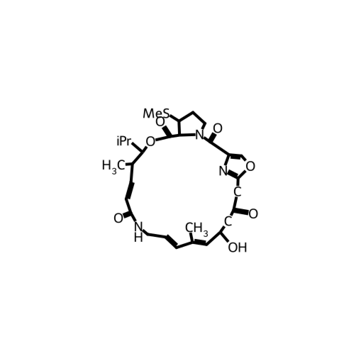 CSC1CCN2C(=O)c3coc(n3)CC(=O)CC(O)/C=C(C)/C=C/CNC(=O)/C=C/C(C)C(C(C)C)OC(=O)C12